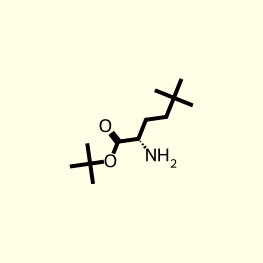 CC(C)(C)CC[C@H](N)C(=O)OC(C)(C)C